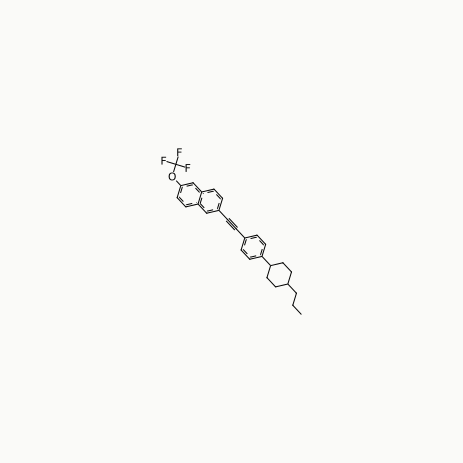 CCCC1CCC(c2ccc(C#Cc3ccc4cc(OC(F)(F)F)ccc4c3)cc2)CC1